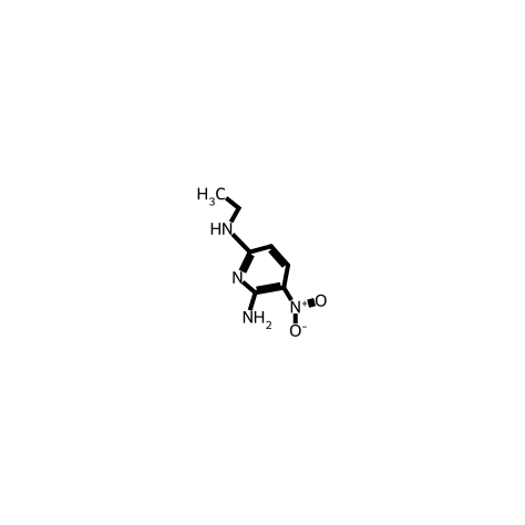 CCNc1ccc([N+](=O)[O-])c(N)n1